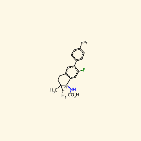 CCCc1ccc(-c2cc3c(cc2F)[C@@H](NC(=O)O)C(C)(C)CC3)cc1